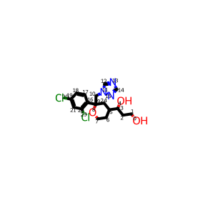 OCCC(O)C1CCOC(Cn2cncn2)(c2ccc(Cl)cc2Cl)C1